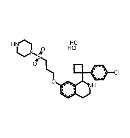 Cl.Cl.O=S(=O)(CCCOc1ccc2c(c1)C(C1(c3ccc(Cl)cc3)CCC1)NCC2)N1CCNCC1